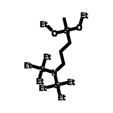 CCO[Si](C)(CCCN([Si](CC)(CC)CC)[Si](CC)(CC)CC)OCC